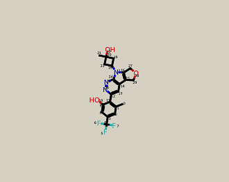 Cc1cc(C(F)(F)F)cc(O)c1-c1cc2c3c(n(C4CC(C)(O)C4)c2nn1)COC3